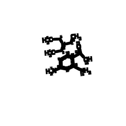 CCN(CC)CC.Nc1ccc(C(=O)O)c(N)c1